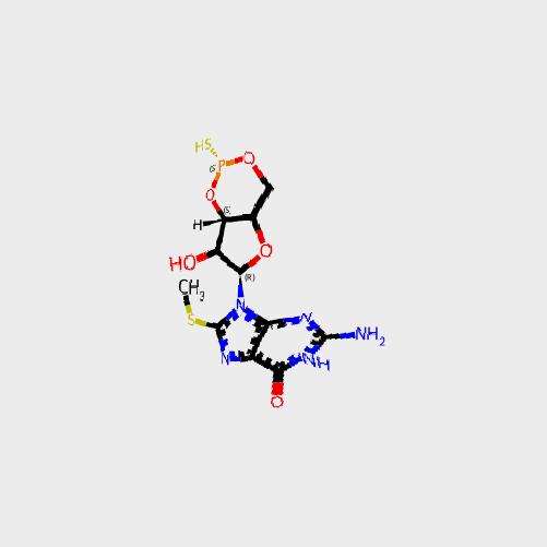 CSc1nc2c(=O)[nH]c(N)nc2n1[C@@H]1OC2CO[P@@](S)O[C@H]2C1O